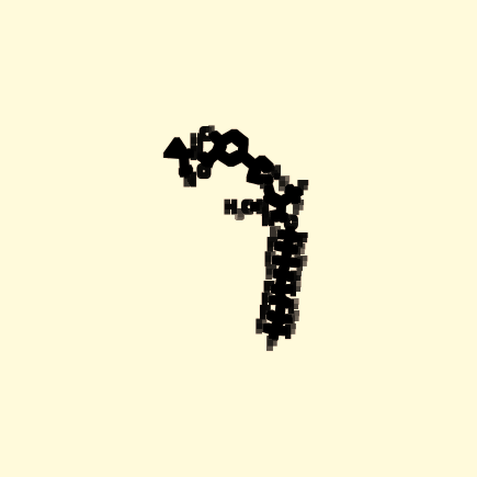 Cn1nc(OC(F)(F)C(F)(F)C(F)(F)C(F)(F)C(F)(F)C(F)(F)C(F)(F)C(F)(F)F)c(C(F)(F)F)c1-n1cc(-c2ccc(Cl)c(C(=O)NC3(C#N)CC3)c2)cn1